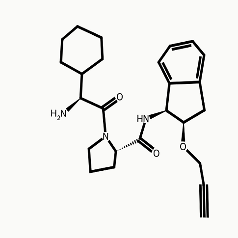 C#CCO[C@@H]1Cc2ccccc2[C@@H]1NC(=O)[C@@H]1CCCN1C(=O)[C@@H](N)C1CCCCC1